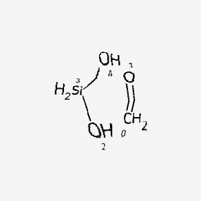 C=O.O[SiH2]O